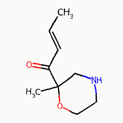 CC=CC(=O)C1(C)CNCCO1